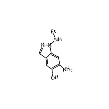 CCNn1ncc2cc(O)c(N)cc21